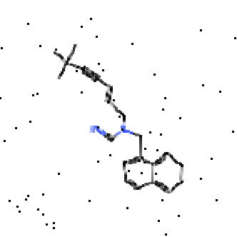 CC(C)(C)C#CC=CCN(C=N)Cc1cccc2ccccc12